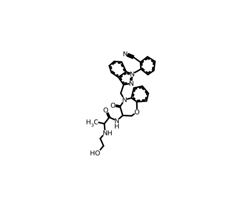 CC(NCCO)C(=O)NC1COc2ccccc2N(Cc2nn(-c3ccccc3C#N)c3ccccc23)C1=O